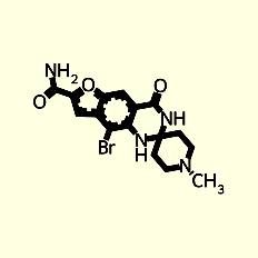 CN1CCC2(CC1)NC(=O)c1cc3oc(C(N)=O)cc3c(Br)c1N2